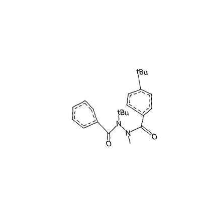 CN(C(=O)c1ccc(C(C)(C)C)cc1)N(C(=O)c1ccccc1)C(C)(C)C